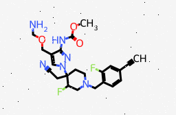 C#Cc1ccc(CN2CCC(CC#N)(n3cc(COCN)c(NC(=O)OC)n3)C(F)C2)c(F)c1